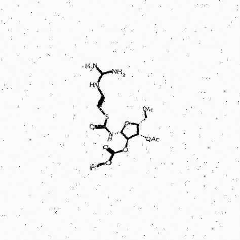 CC(=O)OC[C@H]1O[C@@H](NC(=O)S/C=C/NC(N)N)[C@H](OC(=O)OC(C)C)[C@H]1OC(C)=O